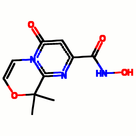 CC1(C)OC=Cn2c1nc(C(=O)NO)cc2=O